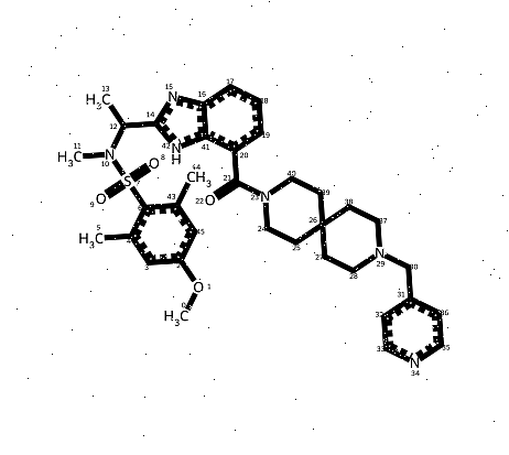 COc1cc(C)c(S(=O)(=O)N(C)C(C)c2nc3cccc(C(=O)N4CCC5(CCN(Cc6ccncc6)CC5)CC4)c3[nH]2)c(C)c1